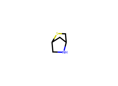 C1NC2CS[C]1C2